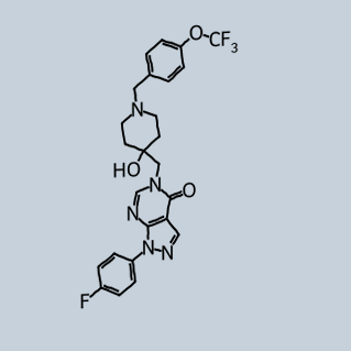 O=c1c2cnn(-c3ccc(F)cc3)c2ncn1CC1(O)CCN(Cc2ccc(OC(F)(F)F)cc2)CC1